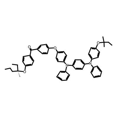 CCC[C@@](C)(CC)Oc1ccc(C(=O)c2ccc(Oc3ccc(N(c4ccccc4)c4ccc(N(c5ccccc5)c5ccc(OC(C)(C)CC)cc5)cc4)cc3)cc2)cc1